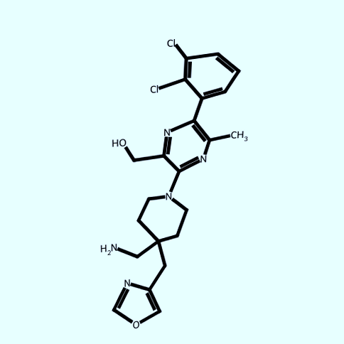 Cc1nc(N2CCC(CN)(Cc3cocn3)CC2)c(CO)nc1-c1cccc(Cl)c1Cl